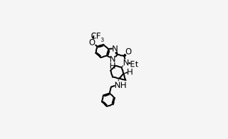 CCN(C(=O)c1nc2cc(OC(F)(F)F)ccc2[nH]1)[C@H]1CCC[C@]2(NCc3ccccc3)C[C@@H]12